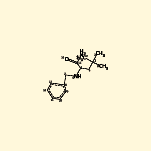 CC(C)(C)CC(NCc1ccccc1)C(N)=O